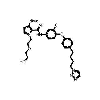 CNc1ccn(CCOCCO)c1C(=N)Nc1ccc(Oc2ccc(CCCCn3ccnn3)cc2)c(Cl)c1